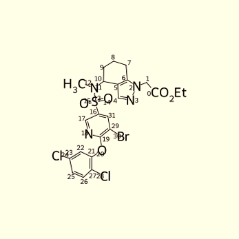 CCOC(=O)Cn1ncc2c1CCCC2N(C)S(=O)(=O)c1cnc(Oc2cc(Cl)ccc2Cl)c(Br)c1